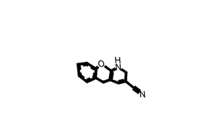 N#CC1=CC2=C(NC1)Oc1ccccc1C2